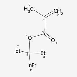 C=C(C)C(=O)OC(CC)(CC)CCC